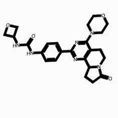 O=C(Nc1ccc(-c2nc3c(c(N4CCOCC4)n2)CCN2C(=O)CCC32)cc1)NC1COC1